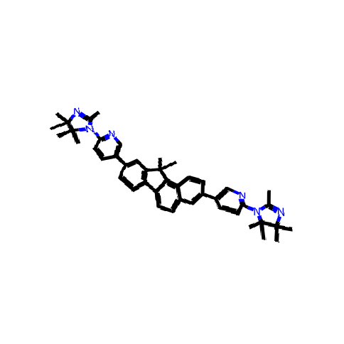 CC1=NC(C)(C)C(C)(C)N1c1ccc(-c2ccc3c(c2)C(C)(C)c2c-3ccc3cc(-c4ccc(N5C(C)=NC(C)(C)C5(C)C)nc4)ccc23)cn1